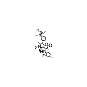 Cc1ccc(Nc2c(C)c(=O)oc3c(-c4cccc(N[S+]([O-])C5CC5)c4)c(C)n(C4CC4)c(=O)c23)c(F)c1